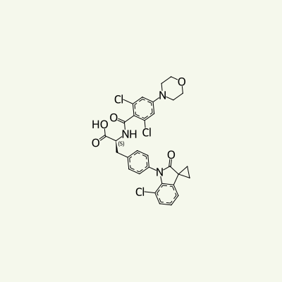 O=C(N[C@@H](Cc1ccc(N2C(=O)C3(CC3)c3cccc(Cl)c32)cc1)C(=O)O)c1c(Cl)cc(N2CCOCC2)cc1Cl